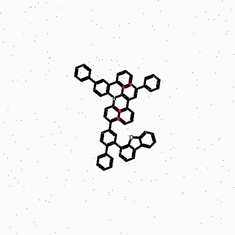 c1ccc(-c2ccc(N(c3ccc(-c4ccc(-c5ccccc5)c(-c5cccc6c5oc5ccccc56)c4)cc3)c3ccc(-c4ccccc4)cc3-c3ccccc3)c(-c3ccccc3)c2)cc1